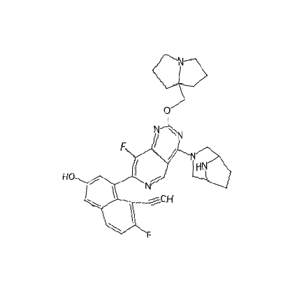 C#Cc1c(F)ccc2cc(O)cc(-c3ncc4c(N5CC6CCC(C5)N6)nc(OCC56CCCN5CCC6)nc4c3F)c12